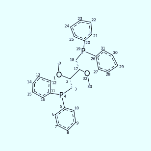 CO[C@@H](CP(c1ccccc1)c1ccccc1)[C@H](CP(c1ccccc1)c1ccccc1)OC